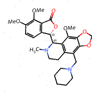 COc1ccc2c(c1OC)C(=O)O[C@@H]2[C@H]1c2c(c(CN3CCCCC3)c3c(c2OC)OCO3)CCN1C